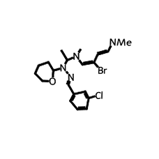 CN/C=C/C(Br)=C\N(C)C(C)N(/N=C/c1cccc(Cl)c1)C1CCCCO1